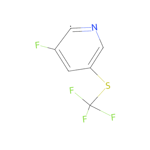 Fc1[c]ncc(SC(F)(F)F)c1